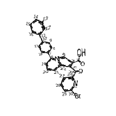 O=C(O)c1cn2c(-c3ccc(-c4ccccc4)cc3)cccc2c1C(=O)c1cccc(Br)n1